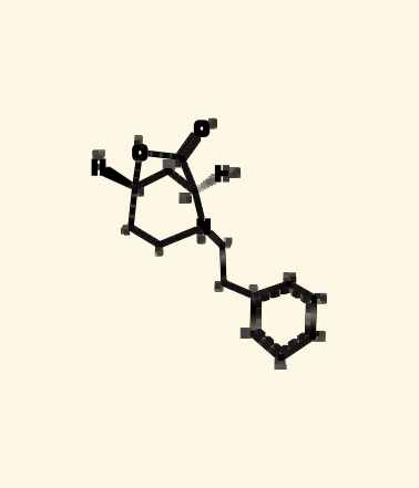 O=C1O[C@H]2CCN(CCc3ccccc3)[C@H]1C2